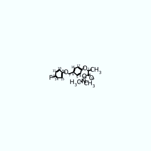 CC(Oc1ccc(COc2ccc(F)cc2)cc1)C(=O)ON(C)C